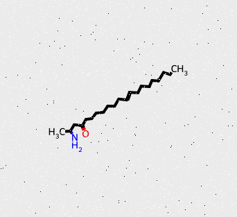 CCCCCCCCC=CCCCCCCCC(=O)CC(C)N